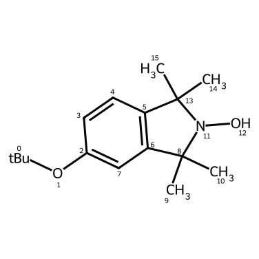 CC(C)(C)Oc1ccc2c(c1)C(C)(C)N(O)C2(C)C